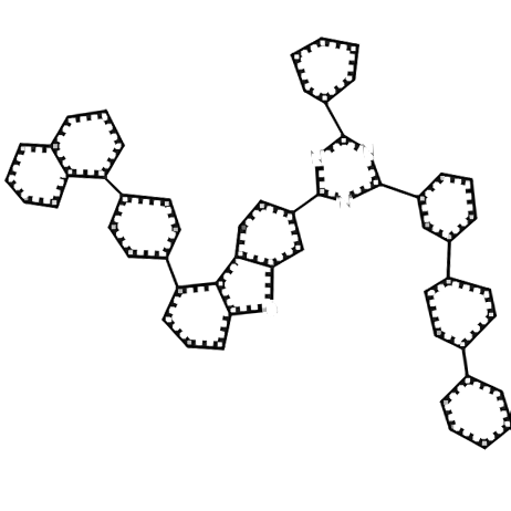 c1ccc(-c2ccc(-c3cccc(-c4nc(-c5ccccc5)nc(-c5ccc6c(c5)oc5cccc(-c7ccc(-c8cccc9ccccc89)cc7)c56)n4)c3)cc2)cc1